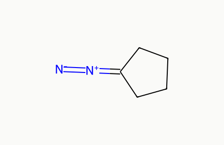 [N-]=[N+]=C1CCCC1